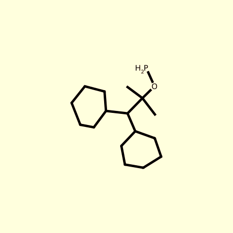 CC(C)(OP)C(C1CCCCC1)C1CCCCC1